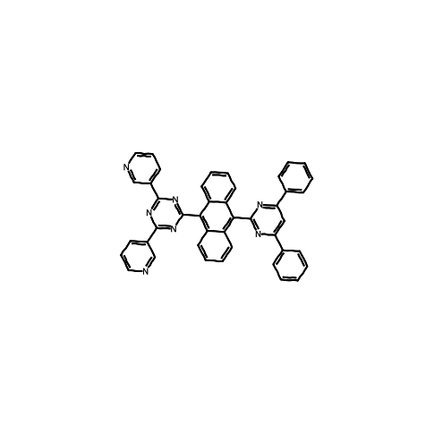 c1ccc(-c2cc(-c3ccccc3)nc(-c3c4ccccc4c(-c4nc(-c5cccnc5)nc(-c5cccnc5)n4)c4ccccc34)n2)cc1